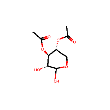 CC(=O)O[C@H]1[C@H](OC(C)=O)COC(O)[C@@H]1O